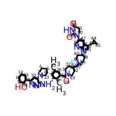 Cc1cc([C@H]2CCCN(c3cc(-c4ccccc4O)nnc3N)C2)c(C)cc1C(=O)N1CCC(F)(CN2CCC(n3cc(C4CC4)c4cc(N5CCC(=O)NC5=O)cnc43)CC2)CC1